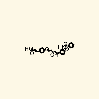 O=C(O)/C=C/c1ccc(OCC[C@@H](O)/C=C/c2cccc(NS(=O)(=O)c3ccccc3)c2)cc1